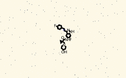 O=C(Nc1cc2c(/C=C/c3ccc(F)cc3)n[nH]c2cc1F)C1(CN2CCC(O)CC2)CC1